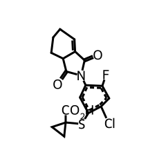 O=C1C2=CCCCC2C(=O)N1c1cc(SC2(C(=O)O)CC2)c(Cl)cc1F